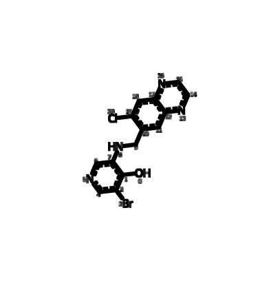 Oc1c(Br)cncc1NCc1cc2nccnc2cc1Cl